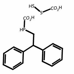 O=C(O)PCC(c1ccccc1)c1ccccc1.O=C(O)SS